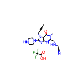 CC#CCn1c(N2CCNCC2)nc2nc(CNCC#N)n(C)c(=O)c21.O=C(O)C(F)(F)F